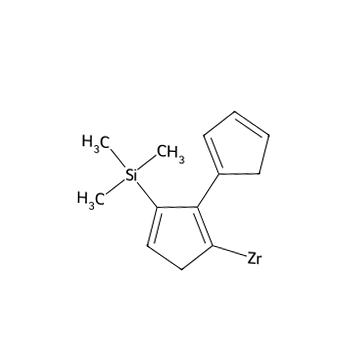 C[Si](C)(C)C1=CC[C]([Zr])=C1C1=CC=CC1